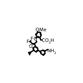 COc1ccc(CC(=O)O)c(OCc2c(C(F)F)oc3c(C4CC4)cc(-c4cccc(CN)c4)cc23)c1